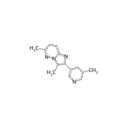 Cc1cncc(-c2nc3ccc(C)nn3c2C)c1